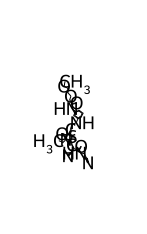 CCn1c(=C=C(C#N)C(=O)NCC#N)sc(=C=CNc2cccc(NC(=O)COCCOC)c2)c1=O